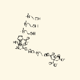 CCO.CN1CC(=O)NC1=N.C[N+](C)(C)CCO.C[N+](C)(C)CCO.C[N+](C)(C)CCO.C[N+](C)(C)CCO.O=C([O-])CC(O)(CC(=O)[O-])C(=O)[O-].O=C([O-])[C@@H]1CCCN1